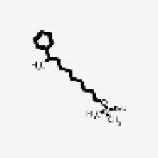 CC(CCCCCCCCO[Si](C)(C)C(C)(C)C)c1ccccc1